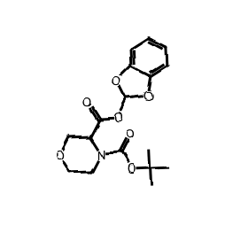 CC(C)(C)OC(=O)N1CCOCC1C(=O)OC1Oc2ccccc2O1